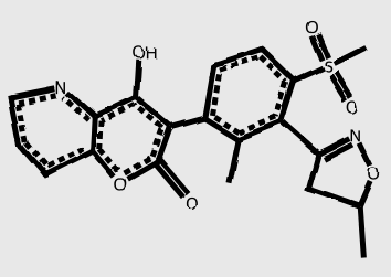 Cc1c(-c2c(O)c3ncccc3oc2=O)ccc(S(C)(=O)=O)c1C1=NOC(C)C1